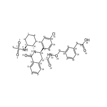 CS(=O)(=O)N[C@H]1CCCC[C@@H]1N1C(=O)c2ccccc2[C@@H](C(=O)NOCc2cccc(CC(=O)O)c2)[C@@H]1c1ccc(Cl)cc1